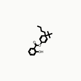 CCCCC1(C(C)(C)C)C=CC(OC(=O)c2ccccc2O)C=C1